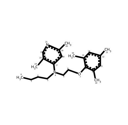 CCCCN(CCOc1c(C)cc(C)cc1C)c1cc(C)ncc1C